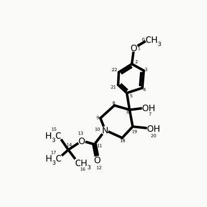 COc1ccc(C2(O)CCN(C(=O)OC(C)(C)C)CC2O)cc1